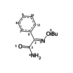 CC(C)CO/N=C(/C(N)=O)c1ccccc1